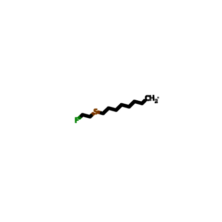 [CH2]CCCCCCCSCCF